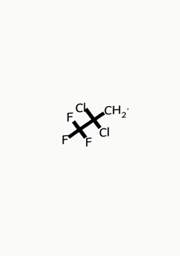 [CH2]C(Cl)(Cl)C(F)(F)F